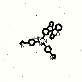 C1=NC(c2ccc(C3=NC(c4ccc5c(c4)C4(c6ccccc6Oc6ccccc64)c4ccccc4-5)NC(c4ccc(C5=CC=N5)cc4)=N3)cc2)=C1